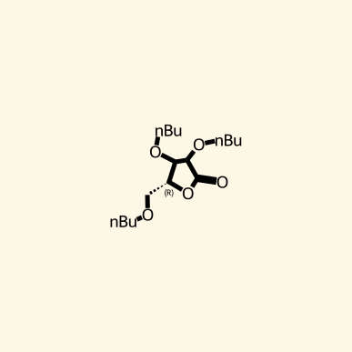 CCCCOC[C@H]1OC(=O)C(OCCCC)C1OCCCC